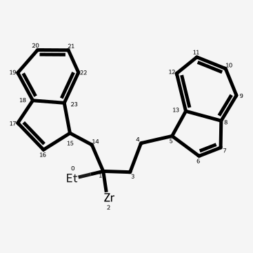 CC[C]([Zr])(CCC1C=Cc2ccccc21)CC1C=Cc2ccccc21